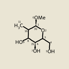 CO[C@H]1OC(CO)[C@@H](O)C(O)C1C